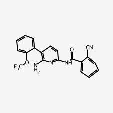 N#Cc1ccccc1C(=O)Nc1ccc(-c2ccccc2OC(F)(F)F)c(N)n1